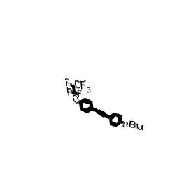 CCCCc1ccc(C#Cc2ccc(OC(F)(F)C(F)C(F)(F)F)cc2)cc1